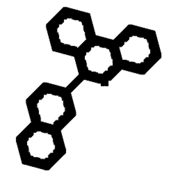 c1ccc2cc(-c3nc4ccccc4c4ccccc34)ccc2c1